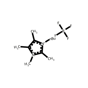 CCCC[n+]1c(C)c(C)n(C)c1C.F[B-](F)(F)F